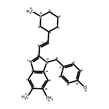 Cc1cc2nc(/C=C/C3CCCN(C)C3)n(Cc3ccc(Cl)cc3)c2cc1C